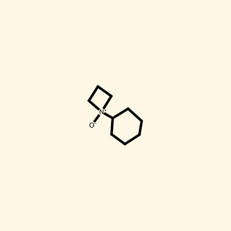 [O-][N+]1(C2CCCCC2)CCC1